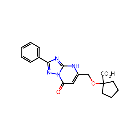 O=C(O)C1(OCc2cc(=O)n3nc(-c4ccccc4)nc3[nH]2)CCCC1